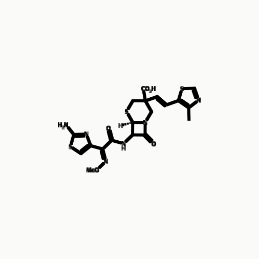 CON=C(C(=O)NC1C(=O)N2CC(C=Cc3scnc3C)(C(=O)O)CS[C@H]12)c1csc(N)n1